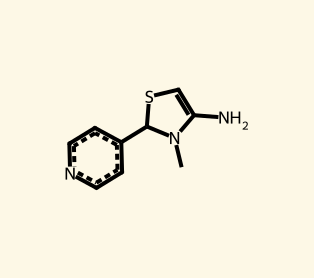 CN1C(N)=CSC1c1ccncc1